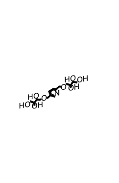 OCC(O)C(O)COCc1ccc(COCC(O)C(O)CO)nc1